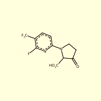 O=C(O)C1C(=O)CCN1c1ccc(C(F)(F)F)c(F)n1